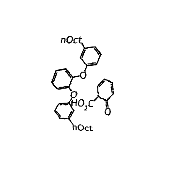 CCCCCCCCc1cccc(Oc2ccccc2Oc2cccc(CCCCCCCC)c2)c1.O=C(O)C1C=CC=CC1=O